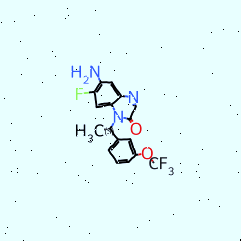 C[C@@H](c1cccc(OC(F)(F)F)c1)n1c(=O)cnc2cc(N)c(F)cc21